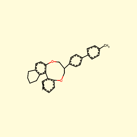 Cc1ccc(-c2ccc(C3COc4ccc5c(c4-c4c(ccc6c4CCCC6)OC3)CCCC5)cc2)cc1